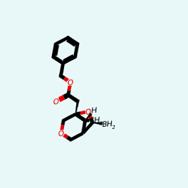 B[C@@H]1O[C@@]2(CC(=O)OCc3ccccc3)COCC1[C@H]2C